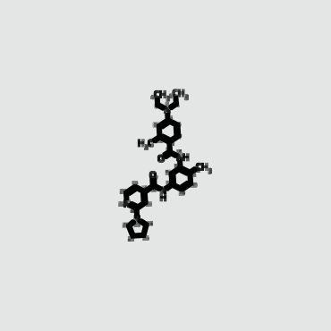 CCN(CC)c1ccc(C(=O)Nc2cc(NC(=O)c3ccnc(N4CCCC4)c3)ccc2C)c(C)c1